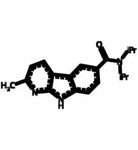 Cc1ccc2c(n1)[nH]c1ccc(C(=O)N(C(C)C)C(C)C)cc12